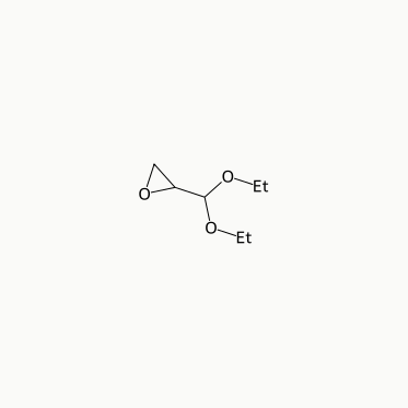 CCOC(OCC)C1CO1